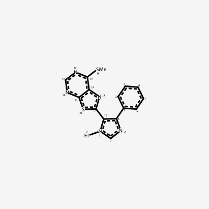 CCn1cnc(-c2ccccc2)c1-c1nc2c(SC)ncnc2s1